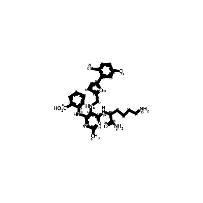 Cc1nc(Nc2ccccc2C(=O)O)c(NCc2ccc(-c3cc(Cl)ccc3Cl)o2)c(NC(CCCCN)C(N)=O)n1